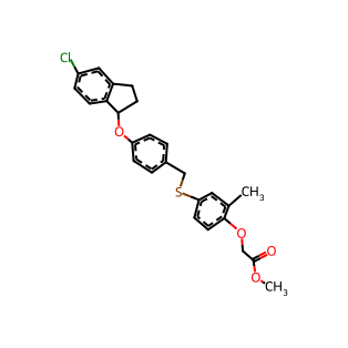 COC(=O)COc1ccc(SCc2ccc(OC3CCc4cc(Cl)ccc43)cc2)cc1C